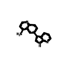 Nc1ccnc2ccc(-c3c[nH]c4ncccc34)cc12